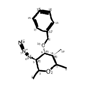 CC1OC(C)[C@@H](N=[N+]=[N-])[C@H](OCc2ccccc2)[C@@H]1C